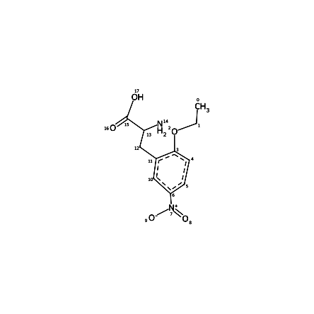 CCOc1ccc([N+](=O)[O-])cc1CC(N)C(=O)O